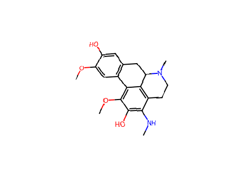 CNc1c(O)c(OC)c2c3c1CCN(C)C3Cc1cc(O)c(OC)cc1-2